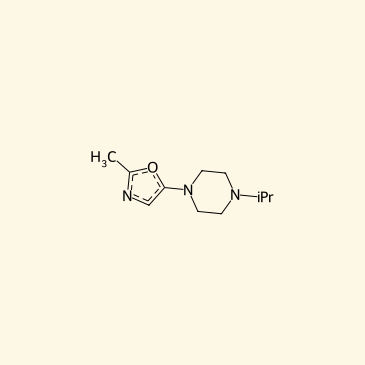 Cc1ncc(N2CCN(C(C)C)CC2)o1